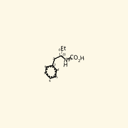 CC[C@@H](Cc1ccccc1)NC(=O)O